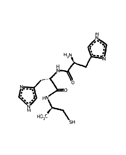 N[C@@H](Cc1c[nH]cn1)C(=O)N[C@@H](Cc1c[nH]cn1)C(=O)N[C@@H](CS)C(=O)O